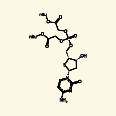 CCCCOC(=O)COP(=O)(OCC(=O)OCCCC)OC[C@H]1S[C@@H](n2ccc(N)nc2=O)C[C@H]1O